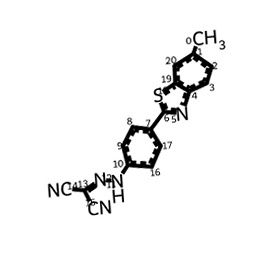 Cc1ccc2nc(-c3ccc(NN=C(C#N)C#N)cc3)sc2c1